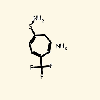 N.NSC1=CC=C(C(F)(F)F)C=CC1